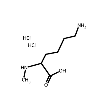 CNC(CCCCN)C(=O)O.Cl.Cl